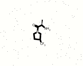 C[C@@H](N)C(=O)N1CCC(C(F)(F)F)C1